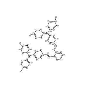 Cc1ccc(N(C2=CC=C(C=Cc3ccccc3C=Cc3ccc(N(c4ccc(C)cc4)c4ccc(C)cc4)cc3)CC2)c2ccc(C)cc2)cc1